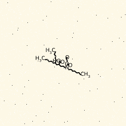 CCCCCCCCN(CCCC(CC(CCCCCC)CCCCCC)C(=O)O)C(=O)OCC=O